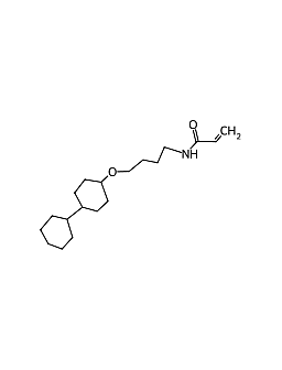 C=CC(=O)NCCCCOC1CCC(C2CCCCC2)CC1